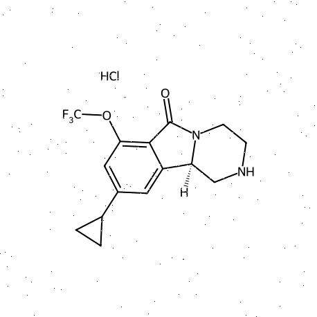 Cl.O=C1c2c(OC(F)(F)F)cc(C3CC3)cc2[C@@H]2CNCCN12